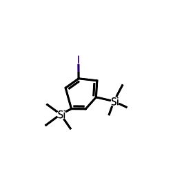 C[Si](C)(C)c1cc(I)cc([Si](C)(C)C)c1